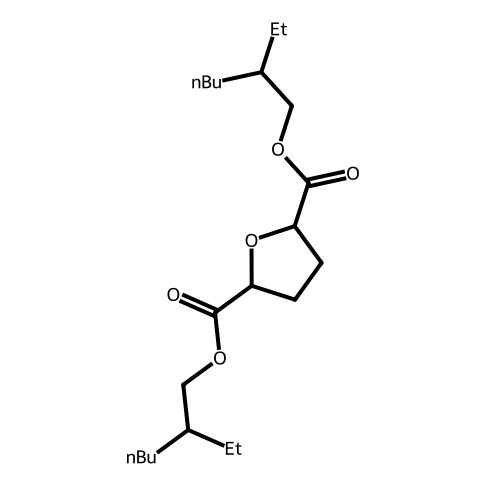 CCCCC(CC)COC(=O)C1CCC(C(=O)OCC(CC)CCCC)O1